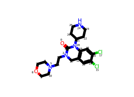 O=C1N(CCN2CCOCC2)Cc2cc(Cl)c(Cl)cc2N1C1CCNCC1